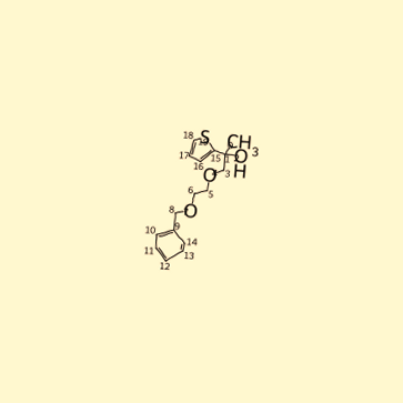 CC(O)(COCCOCc1ccccc1)c1cccs1